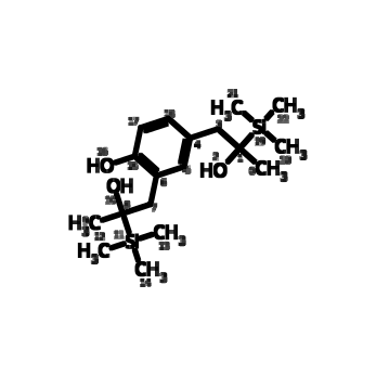 CC(O)(Cc1[c]c(CC(C)(O)[Si](C)(C)C)c(O)cc1)[Si](C)(C)C